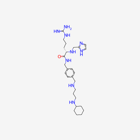 N=C(N)NCCC[C@H](NCc1ncc[nH]1)C(=O)NCc1ccc(CNCCCNC2CCCCC2)cc1